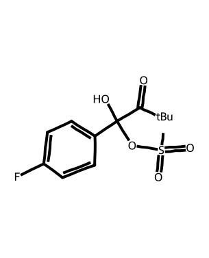 CC(C)(C)C(=O)C(O)(OS(C)(=O)=O)c1ccc(F)cc1